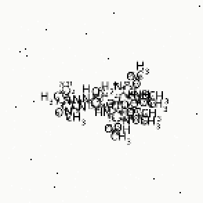 CC[C@@H]1C(=O)N(C)c2cnc(Nc3ccc(C(=O)N[C@H]4C[C@@H](OC(C)=O)[C@H](NC(=O)OC(C)(C)C)C[C@H]4OC(=O)C[C@H]4C[C@@H](NC(=O)OC(C)(C)C)[C@H](OC(C)=O)C[C@H]4N)c4c3OCC4)nc2N1C1CCCC1